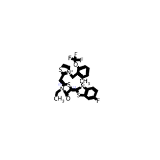 CCn1c(=O)/c(=C2\Sc3cc(F)ccc3N2C)s/c1=C\c1scc[n+]1Cc1ccccc1OC(F)(F)F